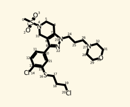 CS(=O)(=O)N1CCc2c(c(-c3ccc(Cl)c(SCCCCl)c3)nn2CCCN2CCOCC2)C1